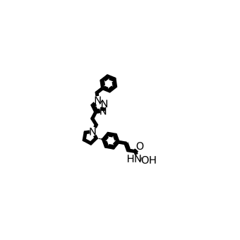 O=C(C=Cc1ccc([C@@H]2CCCN2CCc2cn(Cc3ccccc3)nn2)cc1)NO